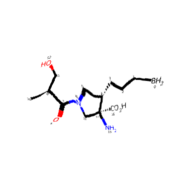 BCCC[C@H]1CN(C(=O)[C@@H](C)CO)C[C@@]1(N)C(=O)O